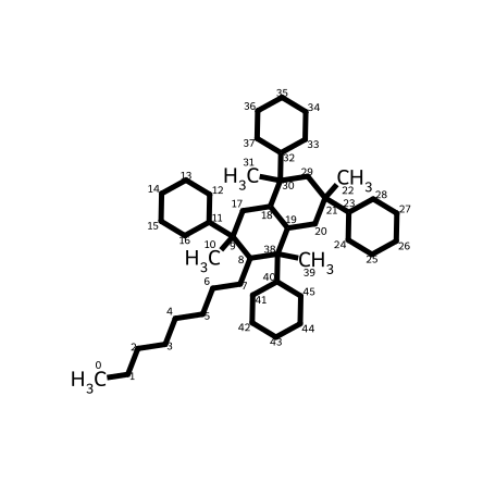 CCCCCCCCC1C(C)(C2CCCCC2)CC2C(CC(C)(C3CCCCC3)CC2(C)C2CCCCC2)C1(C)C1CCCCC1